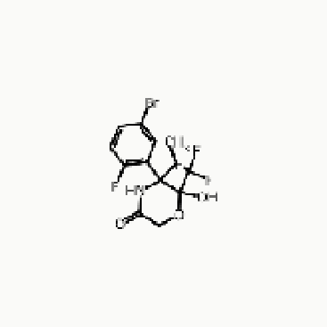 CCC1(c2cc(Br)ccc2F)NC(=O)COC1(O)C(F)(F)F